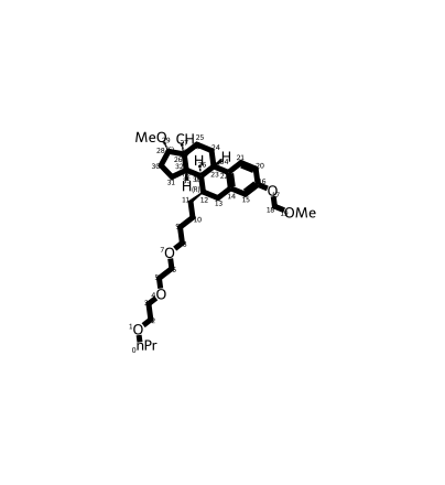 CCCOCCOCCOCCCC[C@@H]1Cc2cc(OCOC)ccc2[C@H]2CC[C@]3(C)[C@@H](OC)CC[C@H]3[C@H]12